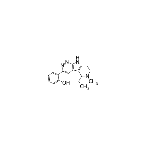 CCC1c2c([nH]c3nnc(-c4ccccc4O)cc23)CCN1C